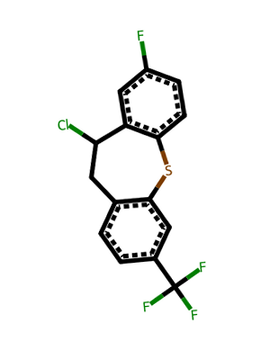 Fc1ccc2c(c1)C(Cl)Cc1ccc(C(F)(F)F)cc1S2